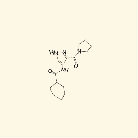 O=C(Nc1c[nH]nc1C(=O)N1CCCC1)C1CCCCC1